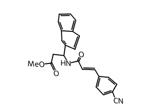 COC(=O)CC(NC(=O)/C=C/c1ccc(C#N)cc1)c1ccc2ccccc2c1